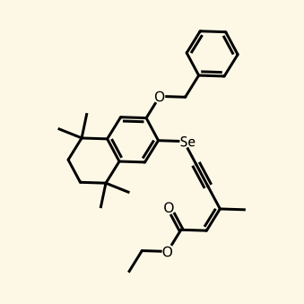 CCOC(=O)C=C(C)C#C[Se]c1cc2c(cc1OCc1ccccc1)C(C)(C)CCC2(C)C